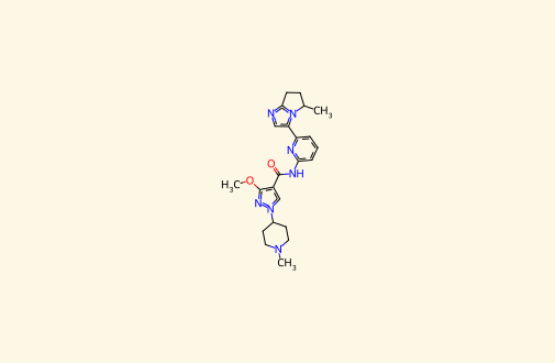 COc1nn(C2CCN(C)CC2)cc1C(=O)Nc1cccc(-c2cnc3n2C(C)CC3)n1